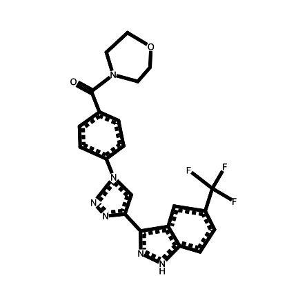 O=C(c1ccc(-n2cc(-c3n[nH]c4ccc(C(F)(F)F)cc34)nn2)cc1)N1CCOCC1